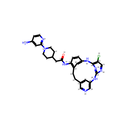 Nc1ccnc(N2CCC(CC(=O)Nc3ccc4cc3CCc3cncc(c3)Nc3ncc(Cl)c(n3)N4)CC2)c1